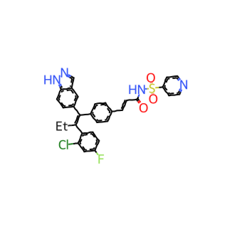 CC/C(=C(/c1ccc(/C=C/C(=O)NS(=O)(=O)c2ccncc2)cc1)c1ccc2[nH]ncc2c1)c1ccc(F)cc1Cl